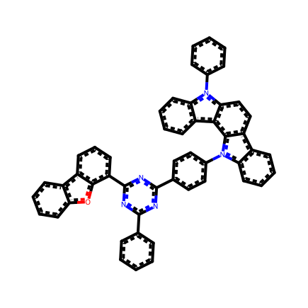 c1ccc(-c2nc(-c3ccc(-n4c5ccccc5c5ccc6c(c7ccccc7n6-c6ccccc6)c54)cc3)nc(-c3cccc4c3oc3ccccc34)n2)cc1